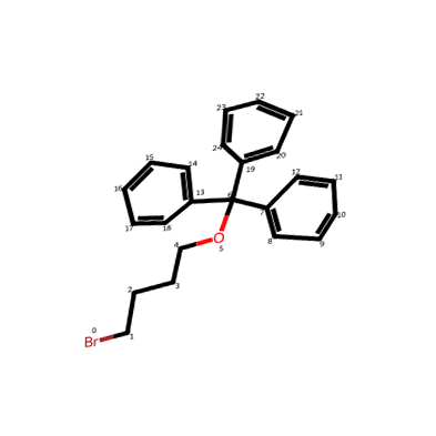 BrCCCCOC(c1ccccc1)(c1ccccc1)c1ccccc1